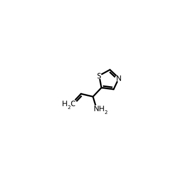 C=CC(N)c1cncs1